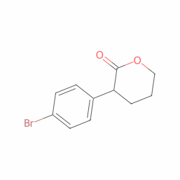 O=C1OCCCC1c1ccc(Br)cc1